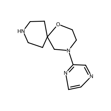 c1cnc(N2CCOC3(CCNCC3)C2)cn1